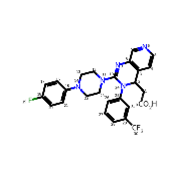 O=C(O)CC1c2ccncc2N=C(N2CCN(c3ccc(F)cc3)CC2)N1c1cccc(C(F)(F)F)c1